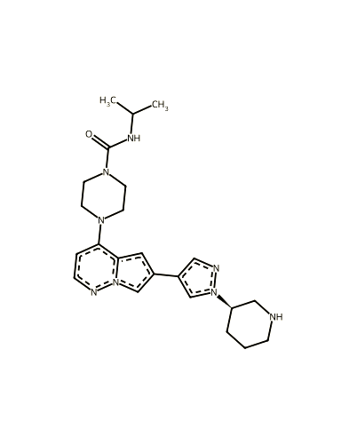 CC(C)NC(=O)N1CCN(c2ccnn3cc(-c4cnn([C@@H]5CCCNC5)c4)cc23)CC1